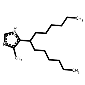 CCCCCCC(CCCCCC)c1[nH]cnc1C